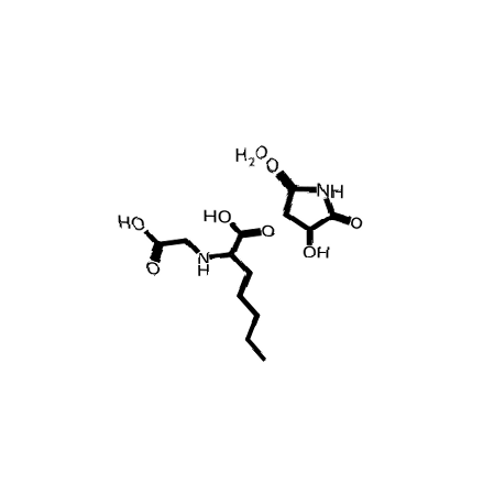 CCCCCC(NCC(=O)O)C(=O)O.O.O=C1CC(O)C(=O)N1